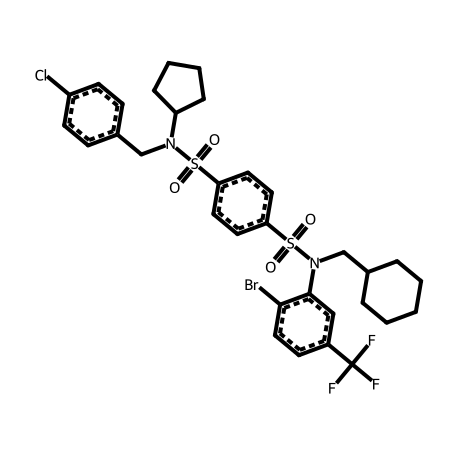 O=S(=O)(c1ccc(S(=O)(=O)N(Cc2ccc(Cl)cc2)C2CCCC2)cc1)N(CC1CCCCC1)c1cc(C(F)(F)F)ccc1Br